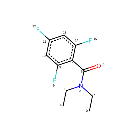 CCN(CC)C(=O)c1c(F)cc(F)cc1F